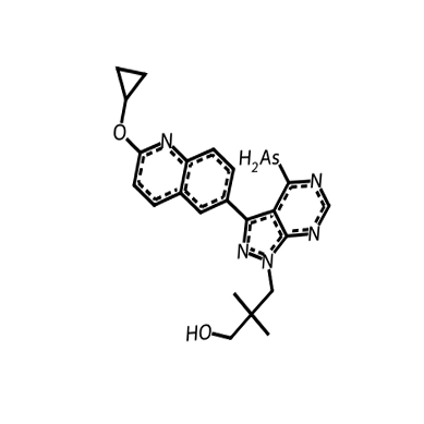 CC(C)(CO)Cn1nc(-c2ccc3nc(OC4CC4)ccc3c2)c2c([AsH2])ncnc21